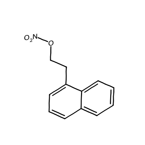 O=[N+]([O-])OCCc1cccc2ccccc12